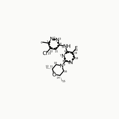 Cc1nnc(Nc2nc(N3C[C@@H](C)O[C@@H](C)C3)ncc2F)cc1Cl